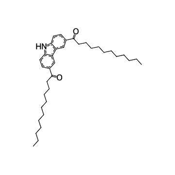 CCCCCCCCCCCC(=O)c1ccc2[nH]c3ccc(C(=O)CCCCCCCCCCC)cc3c2c1